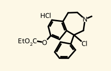 CCOC(=O)Oc1ccc2c(c1)C(Cl)(c1ccccc1)CN(C)CC2.Cl